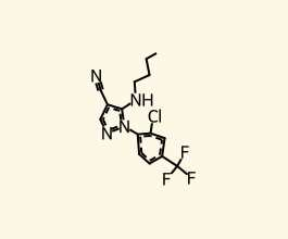 CCCCNc1c(C#N)cnn1-c1ccc(C(F)(F)F)cc1Cl